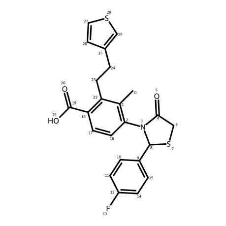 Cc1c(N2C(=O)CSC2c2ccc(F)cc2)ccc(C(=O)O)c1CCc1ccsc1